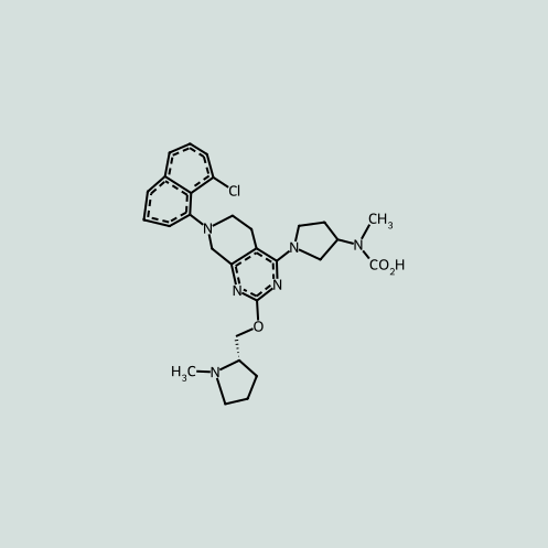 CN(C(=O)O)C1CCN(c2nc(OC[C@@H]3CCCN3C)nc3c2CCN(c2cccc4cccc(Cl)c24)C3)C1